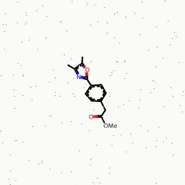 COC(=O)Cc1ccc(-c2nc(C)c(C)o2)cc1